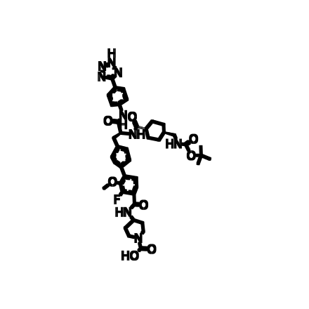 COc1c(-c2ccc(C[C@H](NC(=O)[C@H]3CC[C@H](CNC(=O)OC(C)(C)C)CC3)C(=O)Nc3ccc(-c4nn[nH]n4)cc3)cc2)ccc(C(=O)NC2CCN(C(=O)O)CC2)c1F